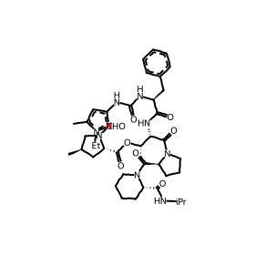 CCn1nc(NC(=O)N[C@@H](Cc2ccccc2)C(=O)N[C@H](C(=O)N2CCC[C@H]2C(=O)N2CCCC[C@H]2C(=O)NC(C)C)[C@H](C)OC(=O)[C@@H]2C[C@@H](C)CN2C=O)cc1C